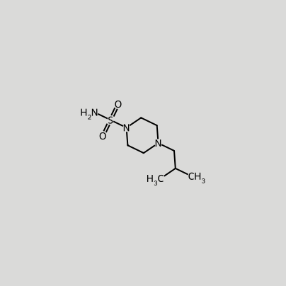 CC(C)CN1CCN(S(N)(=O)=O)CC1